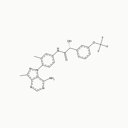 Cc1cc(NC(=O)[C@H](O)c2cccc(OC(F)(F)F)c2)ccc1-n1nc(C)c2ncnc(N)c21